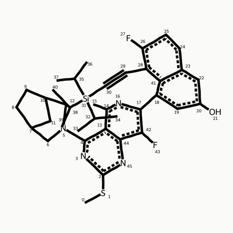 CSc1nc(N2CC3CCC(C3)C2)c2c(C)nc(-c3cc(O)cc4ccc(F)c(C#C[Si](C(C)C)(C(C)C)C(C)C)c34)c(F)c2n1